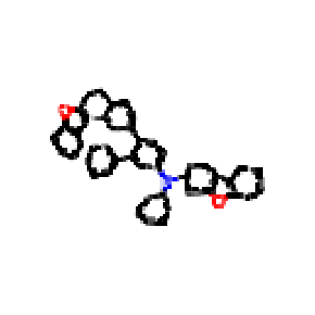 c1ccc(-c2cc(N(c3ccccc3)c3ccc4c(c3)oc3ccccc34)ccc2-c2ccc3c(c2)-c2c(oc4ccccc24)CC3)cc1